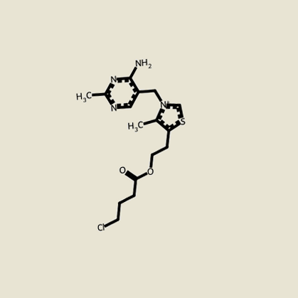 Cc1ncc(C[n+]2csc(CCOC(=O)CCCCl)c2C)c(N)n1